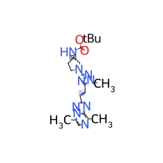 Cc1ncc(C)n2nc(/C=C/c3nc(N4CC[C@@H](NC(=O)OC(C)(C)C)C4)nn3C)nc12